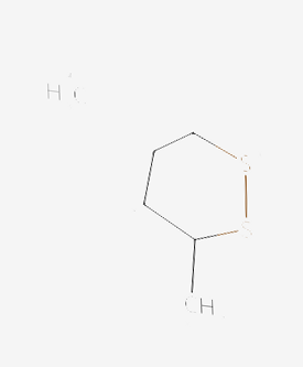 CC1C[C@H](C)CSS1